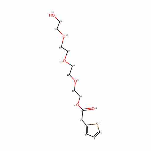 O=C(Cc1cccs1)OCCOCCOCCOCCO